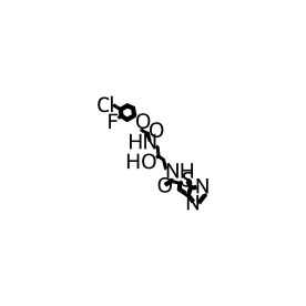 O=C(COc1ccc(Cl)c(F)c1)NCC(O)CCNC(=O)c1cc2nccnc2s1